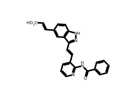 O=C(O)/C=C/c1ccc2[nH]nc(/C=C/c3cccnc3NC(=O)c3ccccc3)c2c1